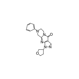 O=c1c2cnn(C3CCOC3)c2nc2n1CCN(c1ccccc1)C2